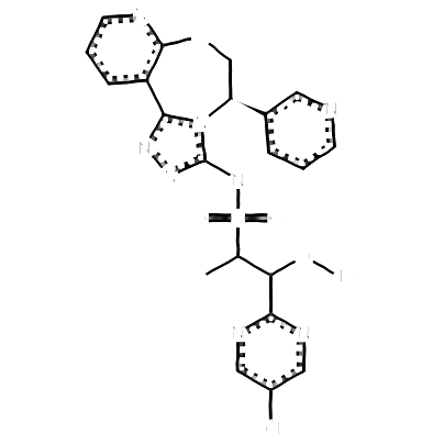 CC(C)OC(c1ncc(Cl)cn1)C(C)S(=O)(=O)Nc1nnc2n1[C@H](c1cccnc1)COc1ncccc1-2